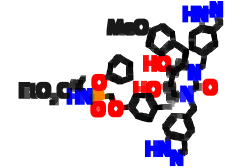 CCOC(=O)[C@H](C)NP(=O)(COc1ccc(C[C@@H]2[C@H](O)[C@@H](O)[C@@H](Cc3ccc(OC)cc3)N(Cc3ccc4[nH]ncc4c3)C(=O)N2Cc2ccc3[nH]ncc3c2)cc1)Oc1ccccc1